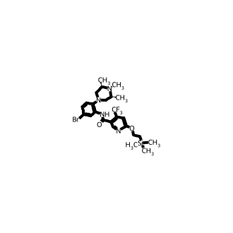 C[C@@H]1CN(c2ccc(Br)cc2NC(=O)c2cnc(OCC[Si](C)(C)C)cc2C(F)(F)F)C[C@H](C)N1C